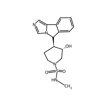 CNS(=O)(=O)N1CC[C@@H](C2c3ccccc3-c3cncn32)[C@H](O)C1